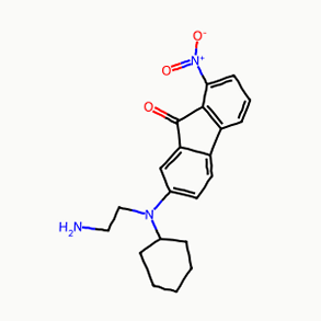 NCCN(c1ccc2c(c1)C(=O)c1c-2cccc1[N+](=O)[O-])C1CCCCC1